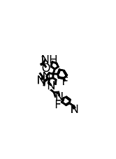 C=C(NC)OC1CCCC1C(Cn1cc(C)nc1C)(c1cccc(F)c1)C1CCN(CC2CN(c3ccc(C#N)cc3F)C2)CC1